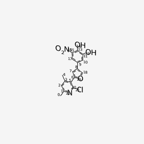 Cc1cc(C)c(-c2cc(-c3cc(O)c(O)c([N+](=O)[O-])c3)co2)c(Cl)n1